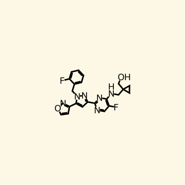 OCC1(CNc2nc(-c3cc(-c4ccon4)n(Cc4ccccc4F)n3)ncc2F)CC1